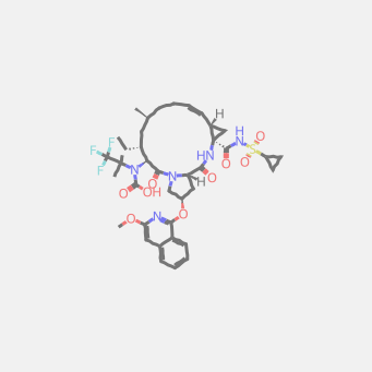 CC[C@@H]1C[C@@H](C)CCC=C[C@@H]2C[C@@]2(C(=O)NS(=O)(=O)C2CC2)NC(=O)[C@@H]2C[C@@H](Oc3nc(OC)cc4ccccc34)CN2C(=O)[C@H]1N(C(=O)O)C(C)(C)C(F)(F)F